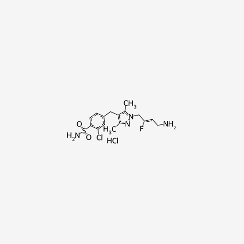 Cc1nn(CC(F)=CCN)c(C)c1Cc1ccc(S(N)(=O)=O)c(Cl)c1.Cl